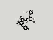 C[C@@H]1CN(CC(=O)N2CC(C)(C)c3c2cc(Cc2ccc(F)cc2)n2ncnc32)[C@@H](CN2CCOC[C@H]2C)CN1